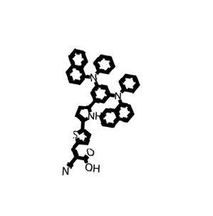 N#C/C(=C/c1ccc(C2=CCC(c3cc(N(c4ccccc4)c4cccc5ccccc45)cc(N(c4ccccc4)c4cccc5ccccc45)c3)N2)s1)C(=O)O